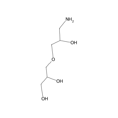 NCC(O)COCC(O)CO